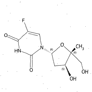 C[C@]1(CO)O[C@@H](n2cc(F)c(=O)[nH]c2=O)C[C@@H]1O